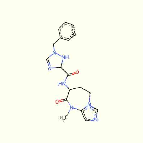 CN1C(=O)C(NC(=O)C2N=CN(Cc3ccccc3)N2)CCn2cncc21